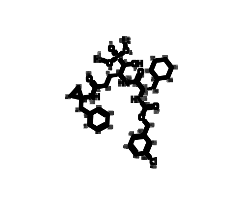 CCOP(=O)(OCC)C(O)[C@H](CCC(=O)NC1(Cc2ccccc2)CC1)NC(=O)[C@H](CC1CCCCC1)NC(=O)OCc1cccc(Cl)c1